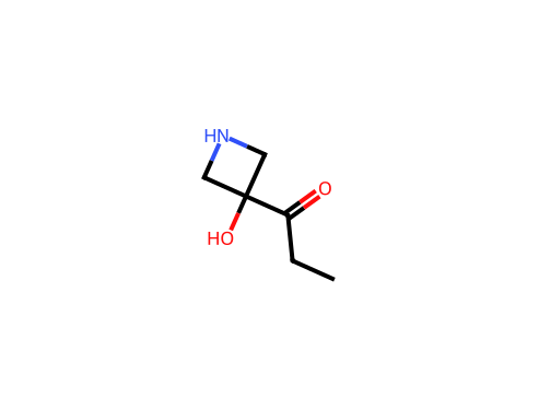 CCC(=O)C1(O)CNC1